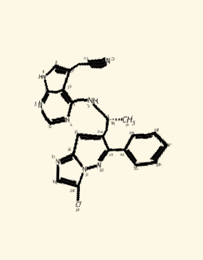 C[C@@H](Nc1ncnc2[nH]cc(C#N)c12)c1cc2ncc(Cl)n2nc1-c1ccccc1